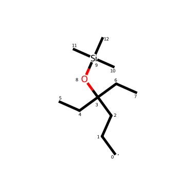 [CH2]CCC(CC)(CC)O[Si](C)(C)C